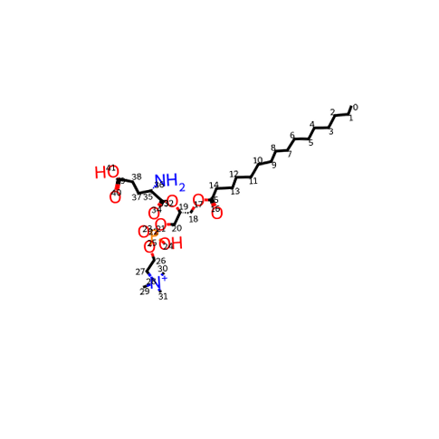 CCCCCCCCCCCCCCCC(=O)OC[C@H](COP(=O)(O)OCC[N+](C)(C)C)OC(=O)[C@@H](N)CCC(=O)O